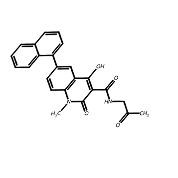 CC(=O)CNC(=O)c1c(O)c2cc(-c3cccc4ccccc34)ccc2n(C)c1=O